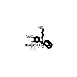 COc1ccc(C2(OCCCCO)OOC23C2CC4CC(C2)CC3C4)cc1O[Si](C)(C)C(C)(C)C